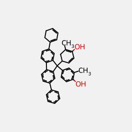 CC1=C(O)C=CC(C2(c3ccc(O)c(C)c3)c3cc(C4=CC=CCC4)ccc3-c3ccc(-c4ccccc4)cc32)C1